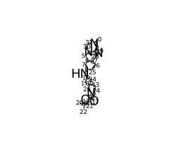 CN1CCN(Cc2cc(NC3CC4(CCN(C(=O)OC(C)(C)C)C4)C3)ccc2C#N)CC1